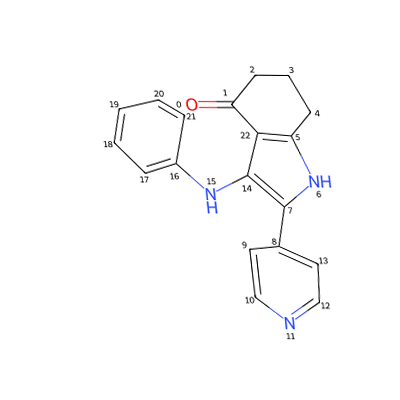 O=C1CCCc2[nH]c(-c3ccncc3)c(Nc3ccccc3)c21